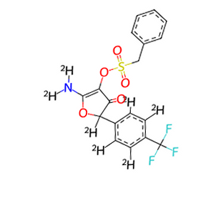 [2H]c1c([2H])c(C2([2H])OC(N([2H])[2H])=C(OS(=O)(=O)Cc3ccccc3)C2=O)c([2H])c([2H])c1C(F)(F)F